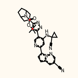 CC(C)(C)OC(=O)N1C2CCC1CN(c1nnc(-c3cnc(-c4ccc5cc(C#N)cnn45)cc3NC3(C#N)CC3)s1)C2